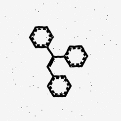 C(=C(c1ccccc1)c1ccccc1)c1ccccc1